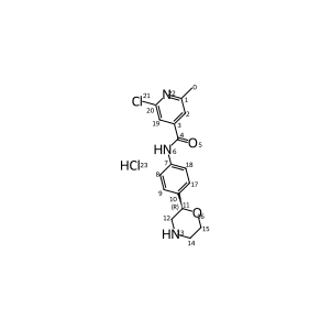 Cc1cc(C(=O)Nc2ccc([C@@H]3CNCCO3)cc2)cc(Cl)n1.Cl